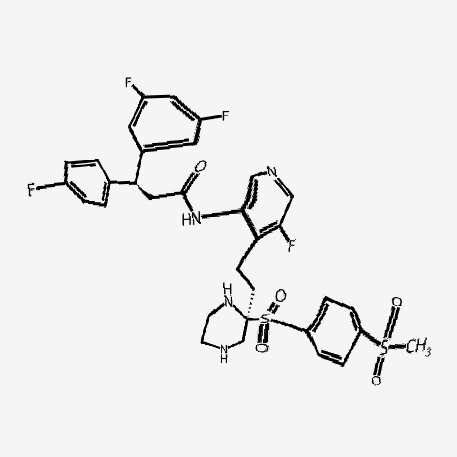 CS(=O)(=O)c1ccc(S(=O)(=O)[C@@]2(CCc3c(F)cncc3NC(=O)C[C@@H](c3ccc(F)cc3)c3cc(F)cc(F)c3)CNCCN2)cc1